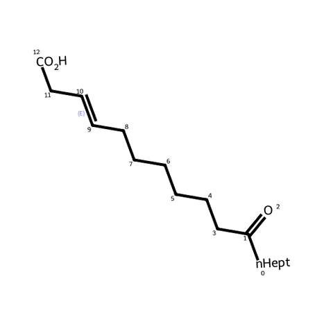 CCCCCCCC(=O)CCCCCC/C=C/CC(=O)O